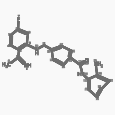 CC(=N)c1ccc(F)cc1NCc1ccc(C(=O)Nc2ccccc2N)cc1